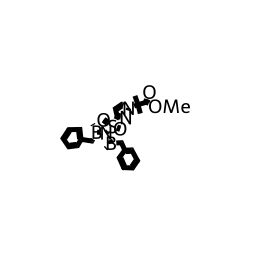 COC(=O)C(C)(C)n1ccc(S(=O)(=O)N(B(C)Cc2ccccc2)B(C)Cc2ccccc2)n1